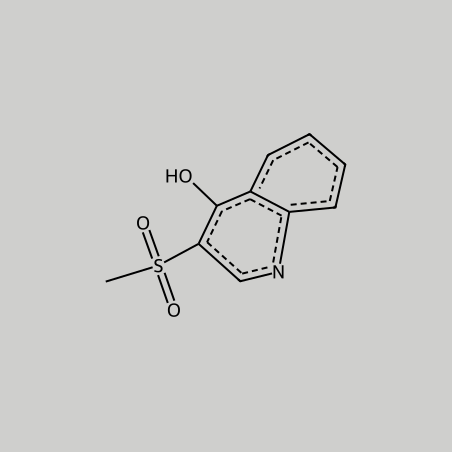 CS(=O)(=O)c1cnc2ccccc2c1O